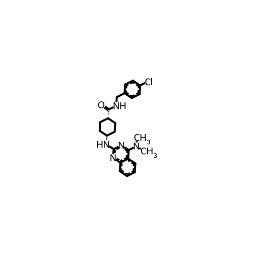 CN(C)c1nc(N[C@H]2CC[C@@H](C(=O)NCc3ccc(Cl)cc3)CC2)nc2ccccc12